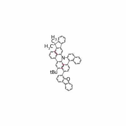 CC(C)(C)c1ccc(N(c2ccc3c(c2)-c2ccccc2C3(C)C)c2ccc3ccccc3c2-c2ccc(-c3cccc4c3oc3ccccc34)cc2)c(-c2ccccc2)c1